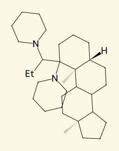 CCC(N1CCCCC1)C1(N2CCCCC2)CCC[C@@H]2CCC3C4CCC[C@@]4(C)CCC3[C@]21C